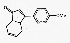 COc1ccc(C2=CC(=O)C3CC=CCC23)cc1